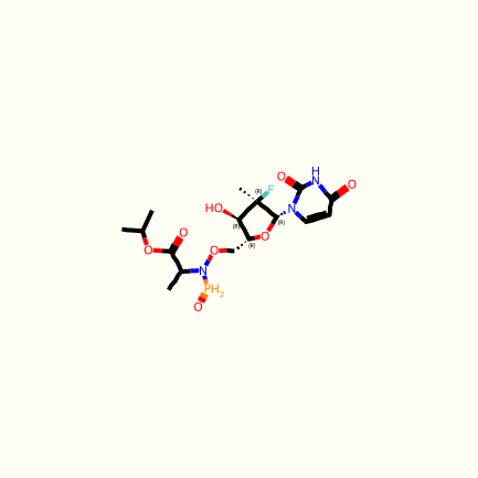 CC(C)OC(=O)C(C)N(OC[C@H]1O[C@@H](n2ccc(=O)[nH]c2=O)[C@](C)(F)[C@@H]1O)[PH2]=O